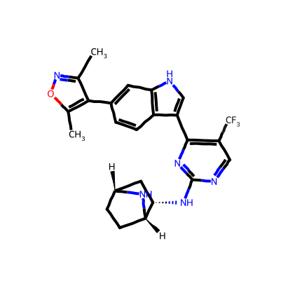 Cc1noc(C)c1-c1ccc2c(-c3nc(N[C@H]4C[C@H]5CC[C@@H]4N5)ncc3C(F)(F)F)c[nH]c2c1